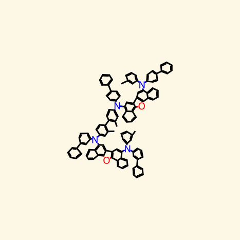 Cc1cccc(N(c2ccc(-c3ccccc3)cc2)c2cc3c4cc(N(c5ccc(-c6ccccc6)cc5)c5ccc(-c6ccc(N(c7cccc(-c8ccccc8)c7)c7cc8c9cc(N(c%10cccc(C)c%10)c%10cccc(-c%11ccccc%11)c%10)c%10ccccc%10c9oc8c8ccccc78)cc6C)c(C)c5)c5ccccc5c4oc3c3ccccc23)c1